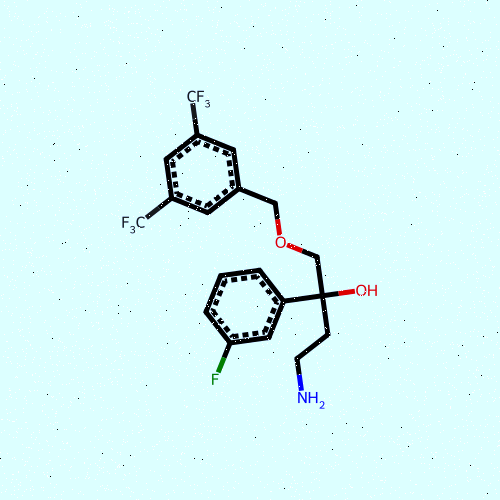 NCCC(O)(COCc1cc(C(F)(F)F)cc(C(F)(F)F)c1)c1cccc(F)c1